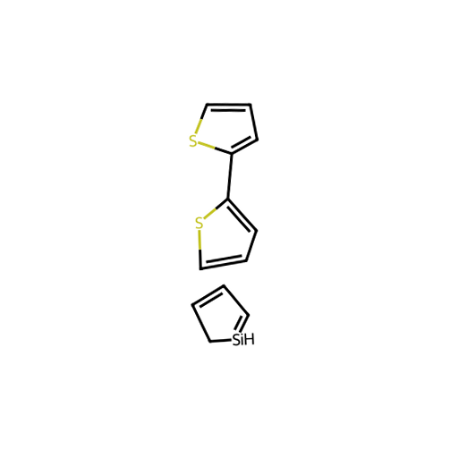 C1=CC[SiH]=C1.c1csc(-c2cccs2)c1